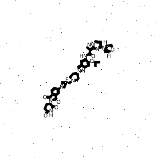 CC(C)Oc1cc2nn(C3CCN(CC4(F)CN(c5ccc6c(c5)C(=O)N(C5CCC(=O)NC5=O)C6=O)C4)CC3)cc2cc1NC(=O)c1cnn2ccc(N3C[C@H]4C[C@@H]3CO4)nc12